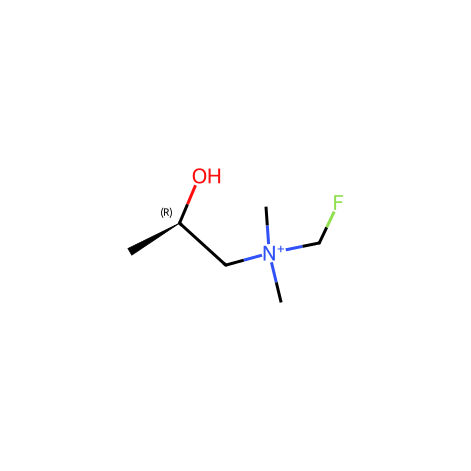 C[C@@H](O)C[N+](C)(C)CF